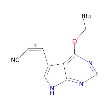 CC(C)(C)COc1ncnc2[nH]cc(/C=C\C#N)c12